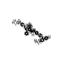 CCN(CC)C1CCN(CC[C@H](CSc2ccccc2)Nc2ccc(S(=O)(=O)NC(=O)c3ccc(N4CCN(CC5=C(c6ccc(Cl)cc6)CCC(C)(C)C5)CC4)cc3)cc2S(=O)(=O)C(F)(F)F)CC1